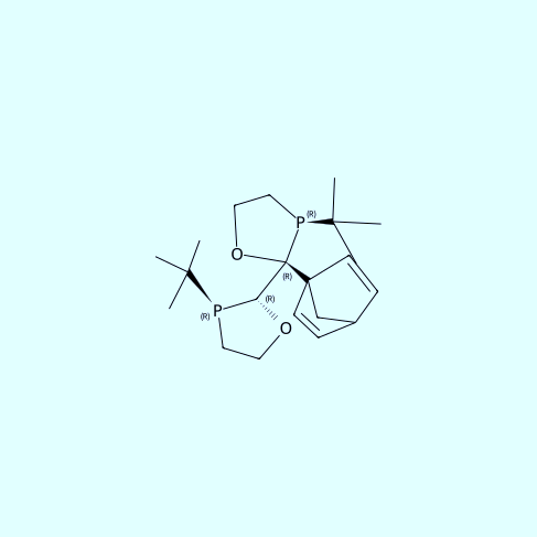 CC(C)(C)[P@]1CCO[C@H]1[C@]1(C23C=CC(C=C2)C3)OCC[P@@]1C(C)(C)C